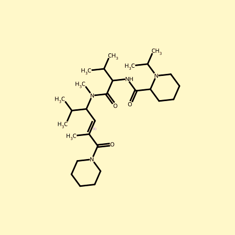 C/C(=C\C(C(C)C)N(C)C(=O)C(NC(=O)C1CCCCN1C(C)C)C(C)C)C(=O)N1CCCCC1